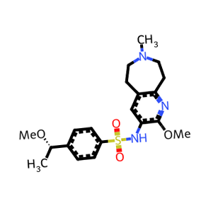 COc1nc2c(cc1NS(=O)(=O)c1ccc([C@H](C)OC)cc1)CCN(C)CC2